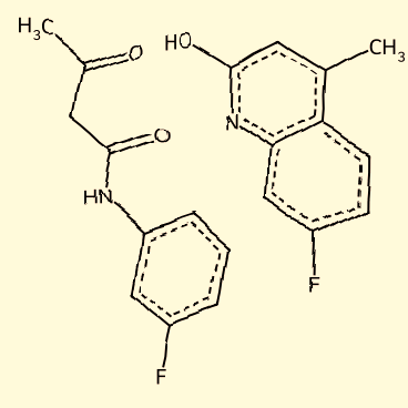 CC(=O)CC(=O)Nc1cccc(F)c1.Cc1cc(O)nc2cc(F)ccc12